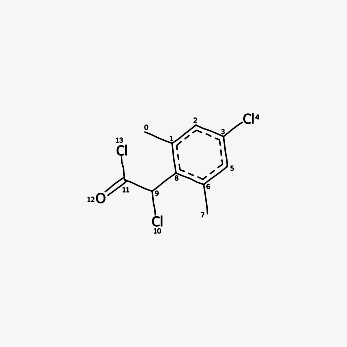 Cc1cc(Cl)cc(C)c1C(Cl)C(=O)Cl